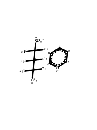 O=S(=O)(O)C(F)(F)C(F)(F)C(F)(F)C(F)(F)F.c1ccncc1